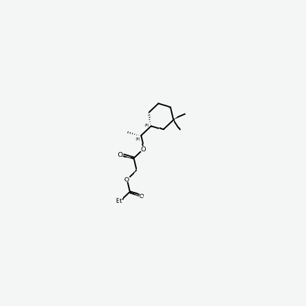 CCC(=O)OCC(=O)O[C@H](C)[C@@H]1CCCC(C)(C)C1